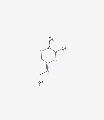 CC1C/C(=C/CO)CCN1C